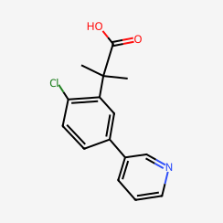 CC(C)(C(=O)O)c1cc(-c2cccnc2)ccc1Cl